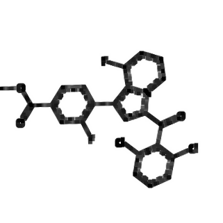 COC(=O)c1ccc(-c2cc(C(=O)c3c(Cl)cccc3Cl)n3cccc(F)c23)c(F)c1